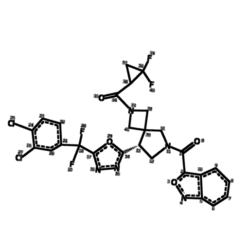 O=C(c1onc2ccccc12)N1C[C@H](c2nnc(C(F)(F)c3ccc(Cl)c(Cl)c3)o2)C2(C1)CN(C(=O)C1CC1(F)F)C2